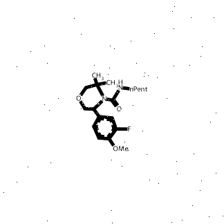 CCCCCNC(=O)N1C(c2ccc(OC)c(F)c2)COCC1(C)C